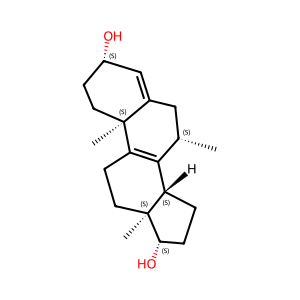 C[C@H]1CC2=C[C@@H](O)CC[C@]2(C)C2=C1[C@@H]1CC[C@H](O)[C@@]1(C)CC2